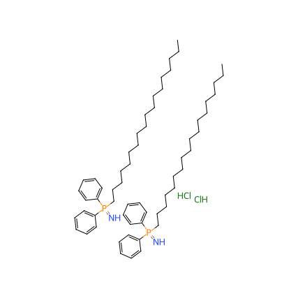 CCCCCCCCCCCCCCCCCCP(=N)(c1ccccc1)c1ccccc1.CCCCCCCCCCCCCCCCCCP(=N)(c1ccccc1)c1ccccc1.Cl.Cl